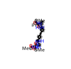 COC(=O)NC[C@H](NC(=O)OC)C(=O)N1CCC[C@H]1c1ncc(-c2ccc(C#Cc3ccc4nc([C@@H]5CC6(CC6)CN5C(=O)[C@@H](NC(=O)OC)C(C)C)[nH]c4c3)cc2)[nH]1